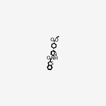 CCOC(=O)[C@H]1CC[C@H](c2ccc(NC(=O)C3Cc4ccccc4S3)nc2)CC1